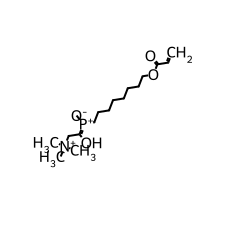 C=CC(=O)OCCCCCCCC/[P+]([O-])=C(\O)C[N+](C)(C)C